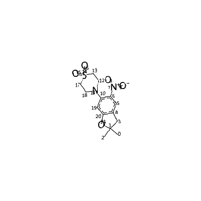 CC1(C)Cc2cc([N+](=O)[O-])c(N3CCS(=O)(=O)CC3)cc2O1